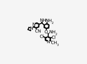 Cc1ncc(Cl)c([C@@H](N)Oc2ccc(N)c(C(=N)c3cnc(N4CCC4)c(C#N)c3)c2)c1Cl